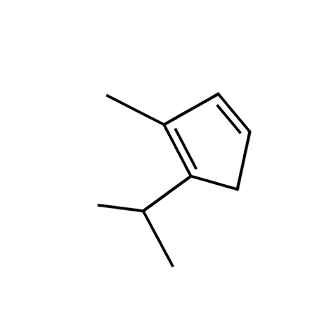 CC1=C(C(C)C)CC=C1